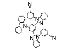 N#Cc1cccc(-n2c(-c3cc(-c4nc5ccccc5n4-c4cccc(C#N)c4)cc(-n4c5ccccc5c5ccccc54)c3)nc3ccccc32)c1